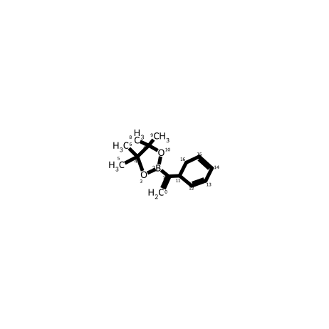 C=C(B1OC(C)(C)C(C)(C)O1)C1C=CC=CC1